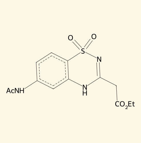 CCOC(=O)CC1=NS(=O)(=O)c2ccc(NC(C)=O)cc2N1